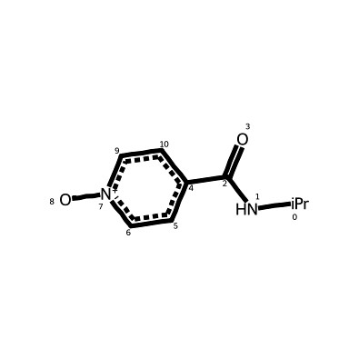 CC(C)NC(=O)c1cc[n+]([O-])cc1